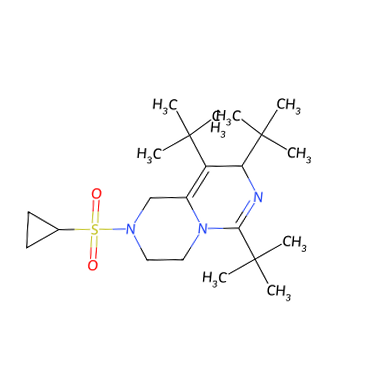 CC(C)(C)C1=NC(C(C)(C)C)C(C(C)(C)C)=C2CN(S(=O)(=O)C3CC3)CCN12